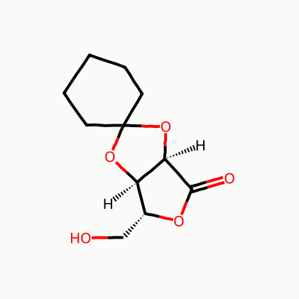 O=C1O[C@H](CO)[C@H]2OC3(CCCCC3)O[C@@H]12